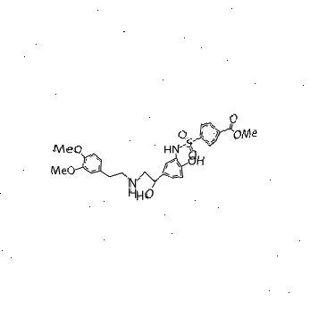 COC(=O)c1ccc(S(=O)(=O)Nc2cc(C(O)CNCCc3ccc(OC)c(OC)c3)ccc2O)cc1